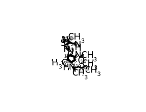 CC(=O)Nc1cc(NC(C)CCC(C)C)c(C)cc1N=Nc1snc(C)c1C#N